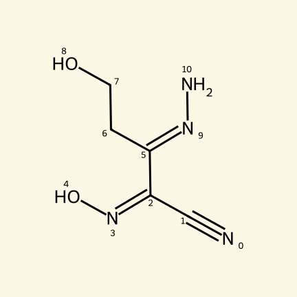 N#CC(=NO)C(CCO)=NN